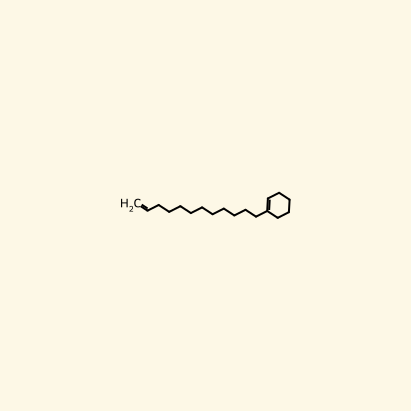 C=CCCCCCCCCCCC1=CCCCC1